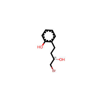 Oc1ccccc1CC[C@H](O)CBr